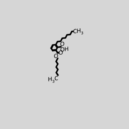 CCCCCCCCOC(=O)c1cccc(CCCCCCCC)c1C(=O)O